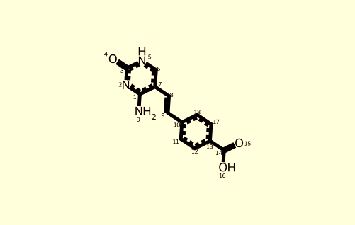 Nc1nc(=O)[nH]cc1C=Cc1ccc(C(=O)O)cc1